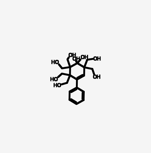 OCC1(CO)C=C(c2ccccc2)C(CO)(CO)C(CO)(CO)C1(O)O